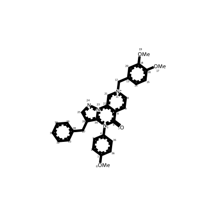 COc1ccc(-n2c(=O)c3cc[n+](Cc4ccc(OC)c(OC)c4)cc3n3ncc(Cc4ccccc4)c23)cc1